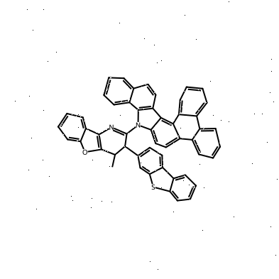 CC1c2oc3ccccc3c2N=C(n2c3ccc4c5ccccc5c5ccccc5c4c3c3ccc4ccccc4c32)C1c1ccc2c(c1)sc1ccccc12